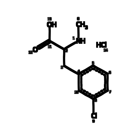 CNC(Cc1cccc(Cl)c1)C(=O)O.Cl